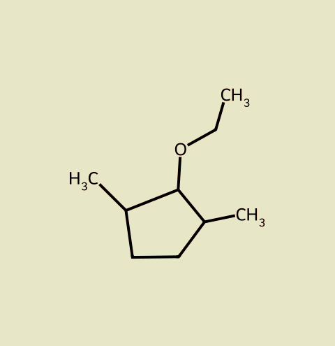 CCOC1C(C)CCC1C